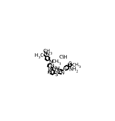 Cc1c2ccc(N(C)C3=NC(N)(c4nccc(Sc5cnc(N6CCC7(CC6)CO[C@@H](C)[C@H]7N)cn5)c4Cl)NC=C3)cc2nn1C.Cl